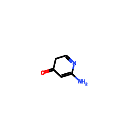 NC1=CC(=O)CC=N1